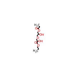 C=CC(=O)OCC(O)COCC1(O)OC1OCCC